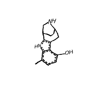 Cc1ccc(O)c2c3c([nH]c12)C1CNC(C3)C1